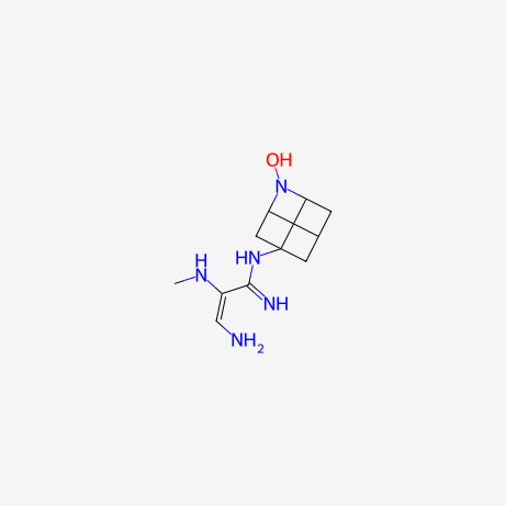 CN/C(=C/N)C(=N)NC12CC3CC4N(O)C(C1)C342